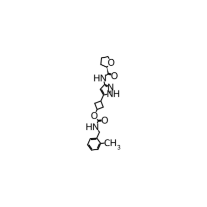 Cc1ccccc1CNC(=O)OC1CC(c2cc(NC(=O)[C@H]3CCCO3)n[nH]2)C1